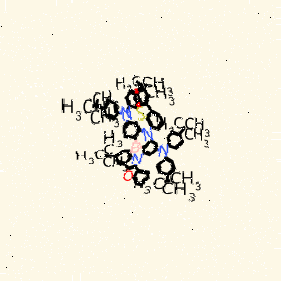 CC(C)(C)c1ccc(N(C2=CCC3B4c5c(cc(N(c6ccc(C(C)(C)C)cc6)c6ccc(C(C)(C)C)cc6)cc5-n5c6c4cc(C(C)(C)C)cc6c4oc6ccccc6c45)N(c4cccc5c4sc4ccccc45)C3=C2)c2ccc(C(C)(C)C)cc2)cc1